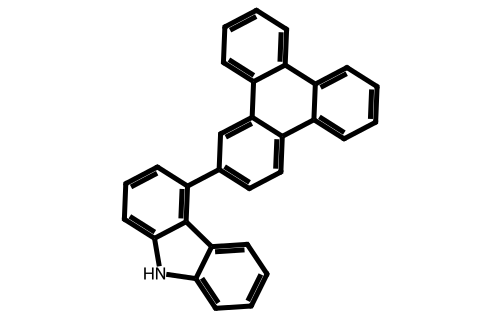 c1ccc2c(c1)[nH]c1cccc(-c3ccc4c5ccccc5c5ccccc5c4c3)c12